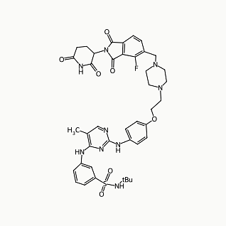 Cc1cnc(Nc2ccc(OCCN3CCN(Cc4ccc5c(c4F)C(=O)N(C4CCC(=O)NC4=O)C5=O)CC3)cc2)nc1Nc1cccc(S(=O)(=O)NC(C)(C)C)c1